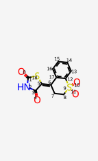 O=C1NC(=O)C(=C2CCS(=O)(=O)c3ccccc32)S1